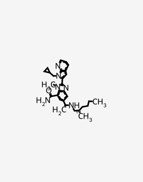 C=C(NC[C@H](C)CCCC)c1cc(C(N)=O)c2c(c1)nc(-c1cc3cccnc3n1CC1CC1)n2C